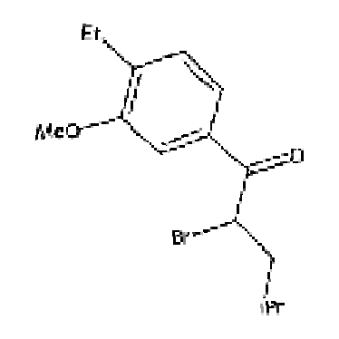 CCc1ccc(C(=O)C(Br)CC(C)C)cc1OC